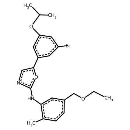 CCOCc1ccc(C)c(Nc2ncc(-c3cc(Br)cc(OC(C)C)c3)o2)c1